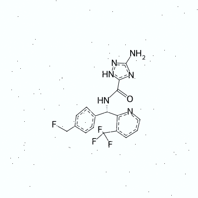 Nc1n[nH]c(C(=O)N[C@@H](c2ccc(CF)cc2)c2ncccc2C(F)(F)F)n1